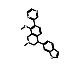 COc1c(-c2cnccn2)ccc2c1CN(C)CC2c1ccc2ccoc2c1